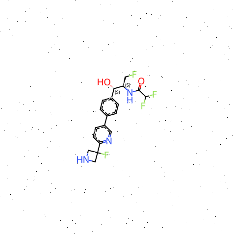 O=C(N[C@H](CF)[C@@H](O)c1ccc(-c2ccc(C3(F)CNC3)nc2)cc1)C(F)F